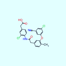 Cc1ccc(CC(=O)Nc2ccc(CC(=O)O)cc2Cl)cc1Oc1cc(Cl)cc(C#N)c1